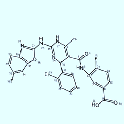 CC1=C(C(=O)Nc2cc(C(=O)O)ccc2F)C(c2ccccc2Cl)N=C(Nc2nc3ccc(F)cc3o2)N1